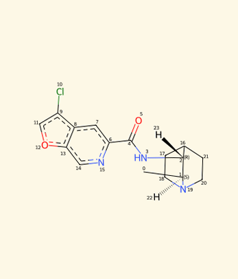 C[C@H]1[C@H](NC(=O)c2cc3c(Cl)coc3cn2)C2CCN1CC2